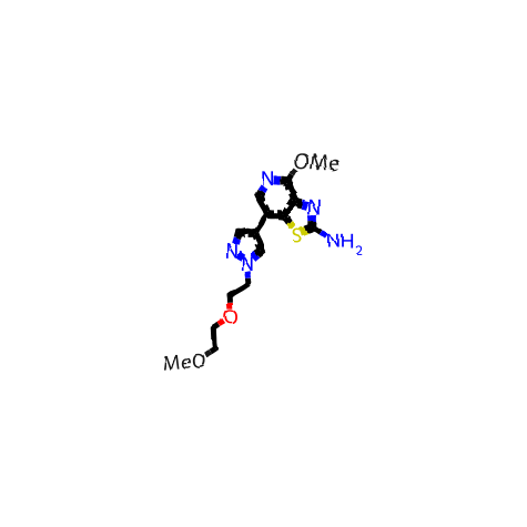 COCCOCCn1cc(-c2cnc(OC)c3nc(N)sc23)cn1